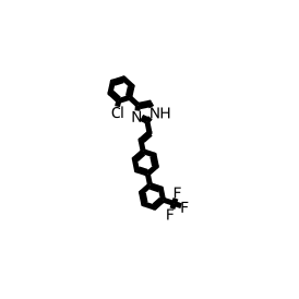 FC(F)(F)c1cccc(-c2ccc(C=Cc3nc(-c4ccccc4Cl)c[nH]3)cc2)c1